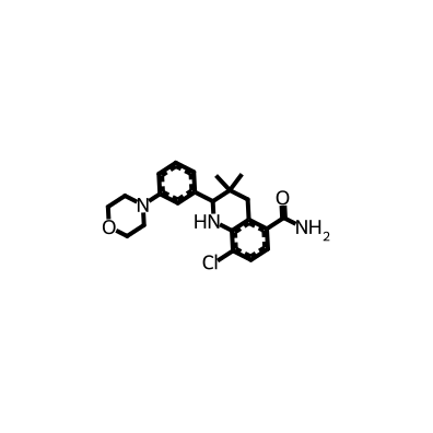 CC1(C)Cc2c(C(N)=O)ccc(Cl)c2NC1c1cccc(N2CCOCC2)c1